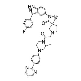 C#CC1(C(=O)Nc2ccc3[nH]nc(-c4ccc(F)cc4)c3c2)CCN(CC(=O)N2CCN(c3ccc(-c4ncccn4)cc3)CC2C)C1